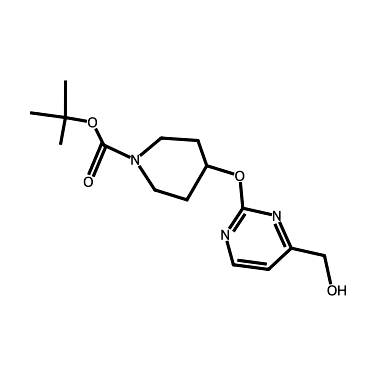 CC(C)(C)OC(=O)N1CCC(Oc2nccc(CO)n2)CC1